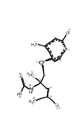 Cc1cc(Cl)ncc1OCC(C)(CC(C)C)NC(=O)O